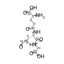 N[C@@H](CCC(=O)N[C@@H](CSC=O)C(=O)NCC(=O)O)C(=O)O